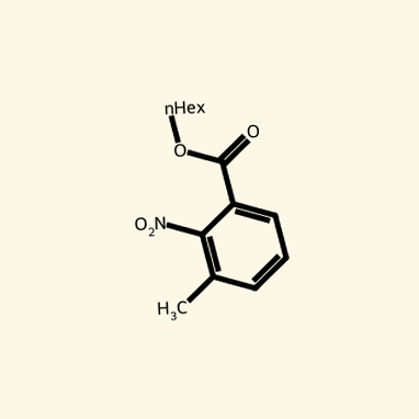 CCCCCCOC(=O)c1cccc(C)c1[N+](=O)[O-]